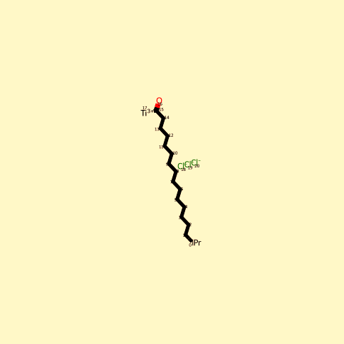 CC(C)CCCCCCCCCCCCCC[C](=O)[Ti+3].[Cl-].[Cl-].[Cl-]